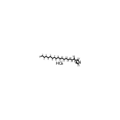 CCCCCCCCCCCCCCCCCC(C)n1ccnc1.Cl